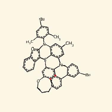 Cc1cc2c3c(c1)N(c1c(C)cc(C(C)(C)C)cc1C)c1oc4ccccc4c1B3c1cc3c(cc1N2c1ccc(C(C)(C)C)cc1-c1ccccc1)OCCCO3